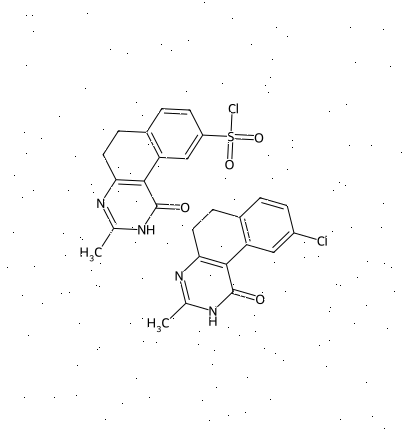 Cc1nc2c(c(=O)[nH]1)-c1cc(Cl)ccc1CC2.Cc1nc2c(c(=O)[nH]1)-c1cc(S(=O)(=O)Cl)ccc1CC2